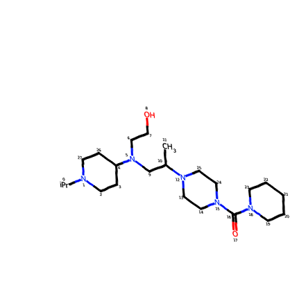 CC(C)N1CCC(N(CCO)CC(C)N2CCN(C(=O)N3CCCCC3)CC2)CC1